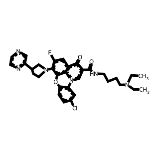 CCN(CC)CCCCNC(=O)c1cn2c3c(c(N4CCC(c5cnccn5)C4)c(F)cc3c1=O)Oc1ccc(Cl)cc1-2